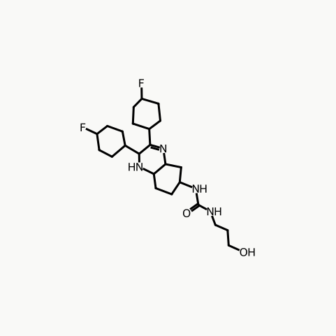 O=C(NCCCO)NC1CCC2NC(C3CCC(F)CC3)C(C3CCC(F)CC3)=NC2C1